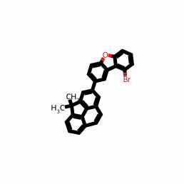 CC1(C)c2cccc3ccc4cc(-c5ccc6oc7cccc(Br)c7c6c5)cc1c4c23